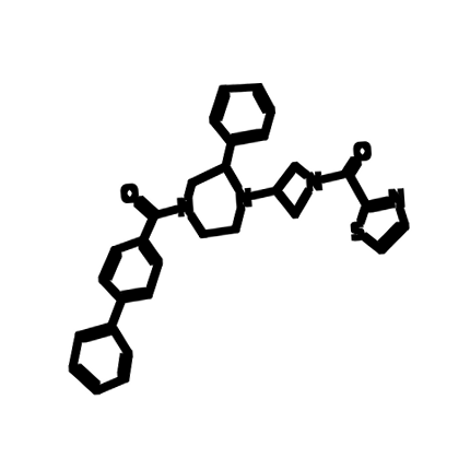 O=C(c1ccc(-c2ccccc2)cc1)N1CCN(C2CN(C(=O)c3nccs3)C2)C(c2ccccc2)C1